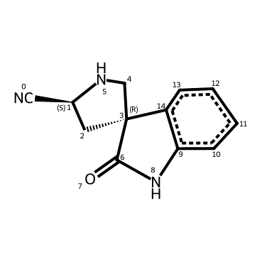 N#C[C@@H]1C[C@@]2(CN1)C(=O)Nc1ccccc12